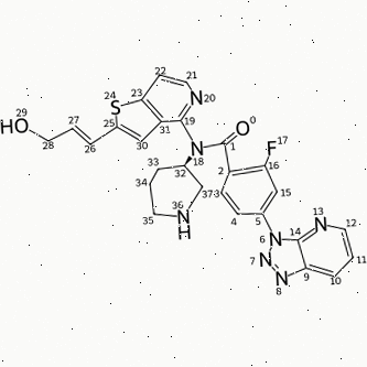 O=C(c1ccc(-n2nnc3cccnc32)cc1F)N(c1nccc2sc(C=CCO)cc12)[C@@H]1CCCNC1